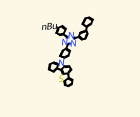 CCCCc1ccc(-c2nc(-c3ccc(-n4c5ccccc5c5c6sc7ccccc7c6ccc54)cc3)nc(-c3cccc(-c4ccccc4)c3)n2)cc1